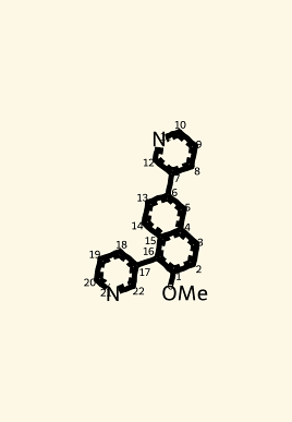 COc1ccc2cc(-c3cccnc3)ccc2c1-c1cccnc1